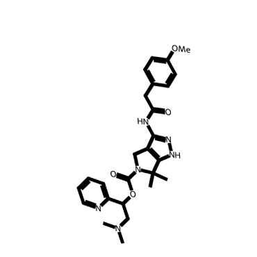 COc1ccc(CC(=O)Nc2n[nH]c3c2CN(C(=O)OC(CN(C)C)c2ccccn2)C3(C)C)cc1